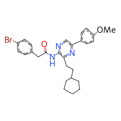 COc1ccc(-c2cnc(NC(=O)Cc3ccc(Br)cc3)c(CCC3CCCCC3)n2)cc1